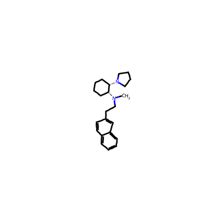 CN(CCc1ccc2ccccc2c1)[C@@H]1CCCC[C@@H]1N1CCCC1